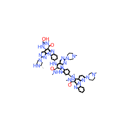 CNC(=O)c1c(NCCO)c2cnc(N3C[C@@H](C)N[C@@H](C)C3)nc2n2c1nc1ccc(Nc3c(C(=O)NC)c4nc5cc(CN(C)c6c(C(=O)NC)c7nc8ccccc8n7c7nc(N8CCCN(C)CC8)ccc67)ccc5n4c4nc(N5CCCN(C)CC5)ncc34)cc12